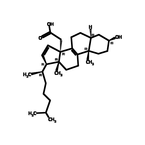 CC(C)CCC[C@@H](C)[C@H]1C=C[C@@]2(CC(=O)O)C3=C(CC[C@]12C)[C@@]1(C)CC[C@H](O)C[C@@H]1CC3